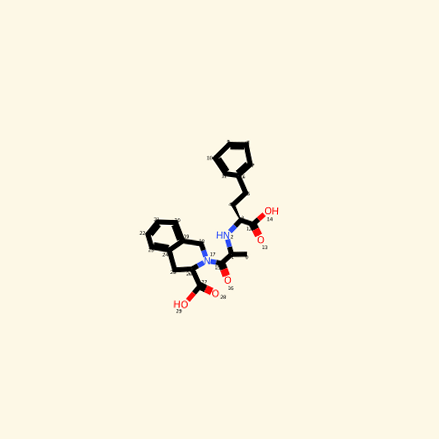 CC(N[C@@H](CCc1ccccc1)C(=O)O)C(=O)N1Cc2ccccc2CC1C(=O)O